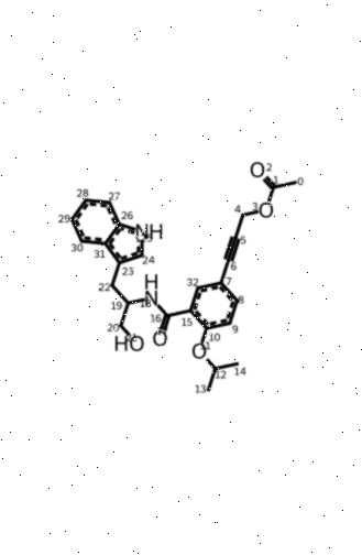 CC(=O)OCC#Cc1ccc(OC(C)C)c(C(=O)NC(CO)Cc2c[nH]c3ccccc23)c1